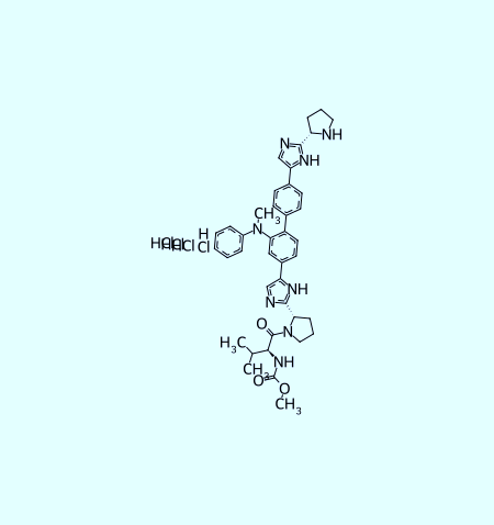 COC(=O)N[C@H](C(=O)N1CCC[C@H]1c1ncc(-c2ccc(-c3ccc(-c4cnc([C@@H]5CCCN5)[nH]4)cc3)c(N(C)c3ccccc3)c2)[nH]1)C(C)C.Cl.Cl.Cl.Cl